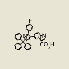 O=C(O)c1cnc2ccc(-c3cn(C(c4ccccc4)(c4ccccc4)c4ccccc4)nc3-c3ccc(F)cc3)cn12